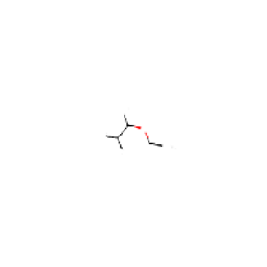 CC(C(C=O)OCC(C)(C)C)C(F)(F)F